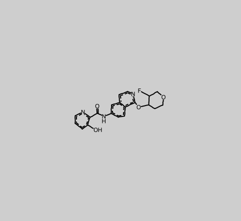 O=C(Nc1ccc2c(OC3CCOCC3F)nccc2c1)c1ncccc1O